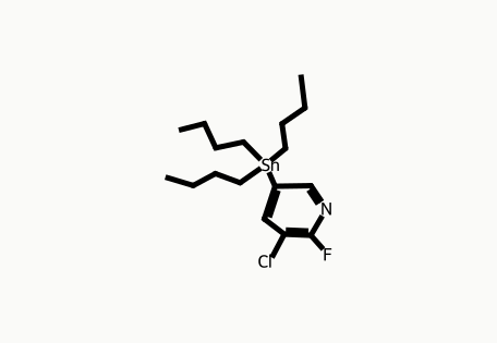 CCC[CH2][Sn]([CH2]CCC)([CH2]CCC)[c]1cnc(F)c(Cl)c1